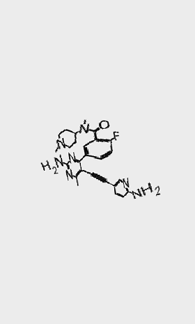 Cc1nc(N)nc(-c2ccc(F)c(C(=O)N(C)C3CCN(C)CC3)c2)c1C#Cc1ccc(N)nc1